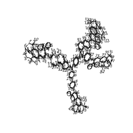 CC1(C)CCN2CCC(C)(C)c3c2c1cc1cc(C2=CC4CC=c5cc(N(c6ccc(-c7ccc(-c8cc9cc%10c%11c(c9oc8=O)C(C)(C)CCN%11CCC%10(C)C)cc7)cc6)c6ccc(N(c7ccc(-c8cc9cc%10c%11c(c9oc8=O)C(C)(C)CCN%11CCC%10(C)C)cc7)c7cccc8cc(-c9cc%10cc%11c%12c(c%10oc9=O)C(C)(C)CCN%12CCC%11(C)C)ccc78)cc6)ccc5=C4C=C2)c(=O)oc31